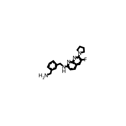 NCc1cccc(CNc2ccc3cc(F)c(N4CCCC4)nc3n2)c1